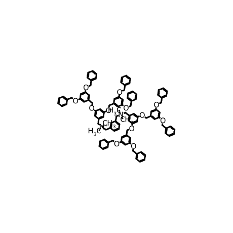 C[N+](C)(Cc1cccc(C[N+](C)(C)Cc2cc(OCc3cc(OCc4ccccc4)cc(OCc4ccccc4)c3)cc(OCc3cc(OCc4ccccc4)cc(OCc4ccccc4)c3)c2)c1)Cc1cc(OCc2cc(OCc3ccccc3)cc(OCc3ccccc3)c2)cc(OCc2cc(OCc3ccccc3)cc(OCc3ccccc3)c2)c1